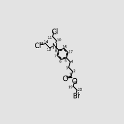 O=C(CCCc1ccc(N(CCCl)CCCl)cc1)OCCBr